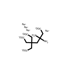 NC(N)(CC(=O)[O-])CC(CC(=O)[O-])(CC(=O)[O-])CC(=O)[O-].[Na+].[Na+].[Na+].[Na+]